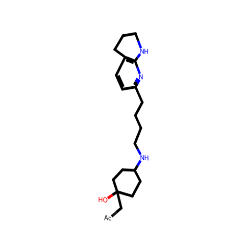 CC(=O)CC1(O)CCC(NCCCCc2ccc3c(n2)NCCC3)CC1